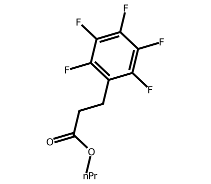 CCCOC(=O)CCc1c(F)c(F)c(F)c(F)c1F